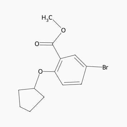 COC(=O)c1cc(Br)ccc1OC1CCCC1